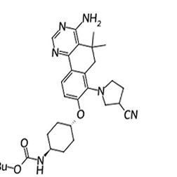 CC(C)(C)OC(=O)N[C@H]1CC[C@H](Oc2ccc3c(c2N2CCC(C#N)C2)CC(C)(C)c2c(N)ncnc2-3)CC1